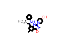 Cc1cc(C(C)Nc2ccccc2C(=O)O)c2nc(N3CCC(O)CC3)n(C)c(=O)c2c1